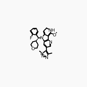 COC1=c2c(n([C@H](c3ccccc3F)C3CCOCC3)c3cc(-c4c(C)nnn4C)cnc23)=CCN1